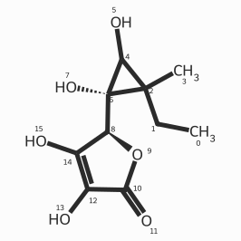 CCC1(C)C(O)[C@]1(O)[C@H]1OC(=O)C(O)=C1O